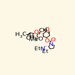 CCN(CC)C[C@H]1CCCN1C(=O)O[C@@H]1CC[C@]2(CO2)[C@@H](C(C)(C)OCC=C(C)C)[C@@H]1OC